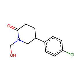 O=C1CCC(c2ccc(Cl)cc2)CN1CO